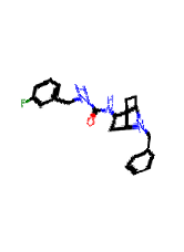 O=C(NCc1cccc(F)c1)NC1CC2N(Cc3ccccc3)C3CCC132